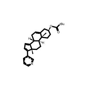 CC(C)(C)C(=O)O[C@H]1CC[C@@]2(C)C(=CC[C@H]3C4=CC=C(c5cccnc5)[C@@]4(C)CC[C@@H]32)C1